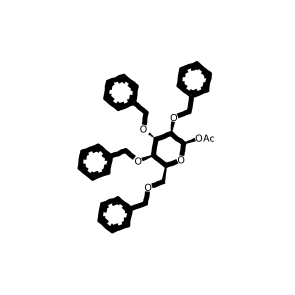 CC(=O)O[C@H]1O[C@@H](COCc2ccccc2)[C@@H](OCc2ccccc2)[C@H](OCc2ccccc2)[C@H]1OCc1ccccc1